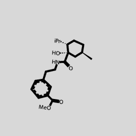 COC(=O)c1cccc(CCNC(=O)[C@]2(O)C[C@H](C)CC[C@H]2C(C)C)c1